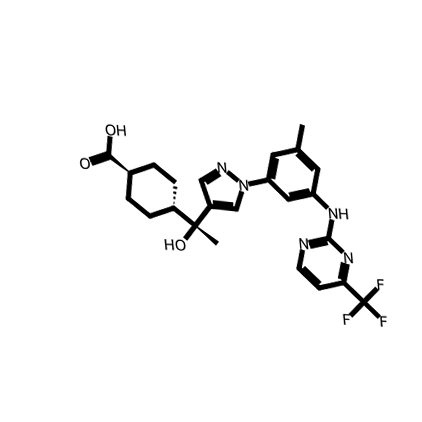 Cc1cc(Nc2nccc(C(F)(F)F)n2)cc(-n2cc([C@](C)(O)[C@H]3CC[C@H](C(=O)O)CC3)cn2)c1